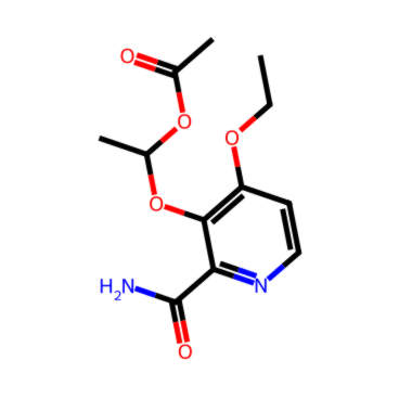 CCOc1ccnc(C(N)=O)c1OC(C)OC(C)=O